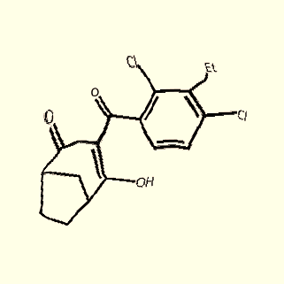 CCc1c(Cl)ccc(C(=O)C2=C(O)C3CCC(C3)C2=O)c1Cl